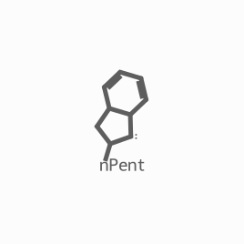 CCCCCC1[C]C2C=CC=CC2C1